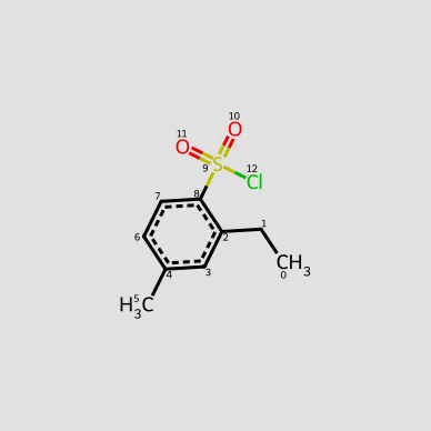 CCc1cc(C)ccc1S(=O)(=O)Cl